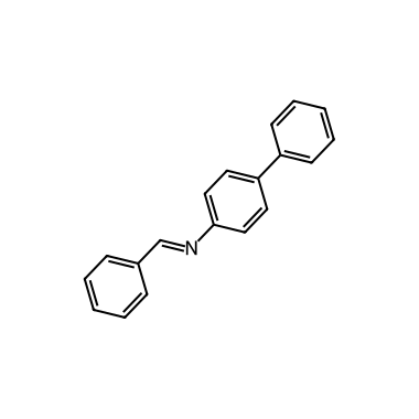 C(=Nc1ccc(-c2ccccc2)cc1)c1ccccc1